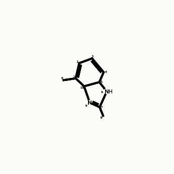 CC1=CC=CC2NC(C)=NC12